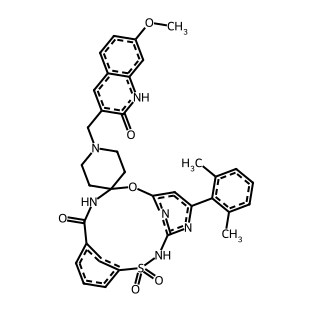 COc1ccc2cc(CN3CCC4(CC3)NC(=O)c3cccc(c3)S(=O)(=O)Nc3nc(cc(-c5c(C)cccc5C)n3)O4)c(=O)[nH]c2c1